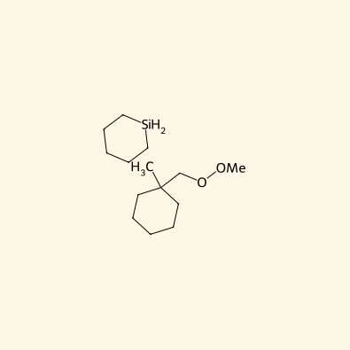 C1CC[SiH2]CC1.COOCC1(C)CCCCC1